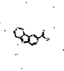 O=C(O)c1ccc2c(c1)C1CCCCC1=N2